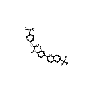 Cc1cc(-c2ncc3cc(C(F)(F)F)ccc3n2)ccc1N(C)C(=O)Oc1ccc([N+](=O)[O-])cc1